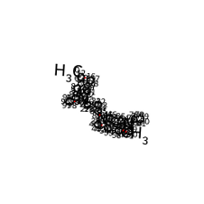 Cc1ccc2c(c1)-c1ccccc1C21c2ccccc2-c2ccc(N(c3cccc(-c4cccc5cc(N(c6ccccc6)c6ccc7c(c6)C6(c8ccccc8-c8ccc(C)cc86)c6cc(N(c8ccccc8)c8ccc9ccccc9c8)ccc6-7)ccc45)c3)c3ccc4ccccc4c3)cc21